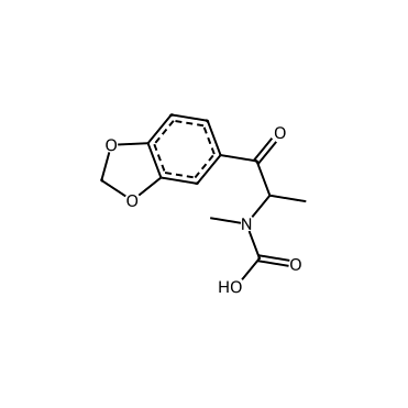 CC(C(=O)c1ccc2c(c1)OCO2)N(C)C(=O)O